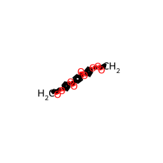 C=CC(=O)COc1ccc(OC(=O)C2CCC(C(=O)Oc3ccc(OCOC(=O)C=C)cc3)CC2)cc1